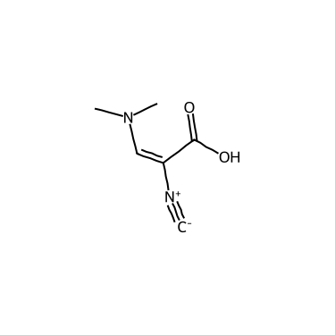 [C-]#[N+]C(=CN(C)C)C(=O)O